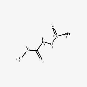 CCCSC(=S)NOS(=O)CCC